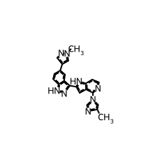 Cc1cn(-c2nccc3[nH]c(-c4n[nH]c5ccc(-c6cnn(C)c6)cc45)cc23)cn1